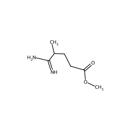 COC(=O)CCC(C)C(=N)N